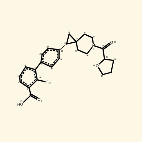 O=C(O)c1cccc(-c2ccc([C@@H]3CC34CCN(C(=O)C3CCCO3)CC4)cc2)c1F